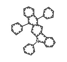 c1ccc(-c2c3ccccc3c(-c3ccccc3)c3cc4c(cc23)c2ccccc2n4-c2ccccc2)cc1